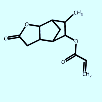 C=CC(=O)OC1C(C)C2CC1C1CC(=O)OC21